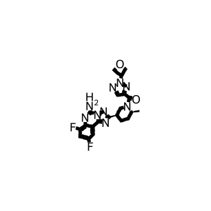 C[C@H]1CC[C@@H](c2nc3c4cc(F)cc(F)c4nc(N)n3n2)CN1C(=O)c1cnn(C2COC2)n1